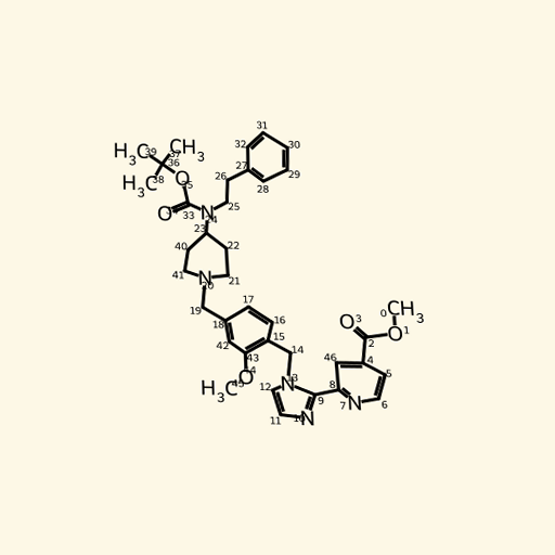 COC(=O)c1ccnc(-c2nccn2Cc2ccc(CN3CCC(N(CCc4ccccc4)C(=O)OC(C)(C)C)CC3)cc2OC)c1